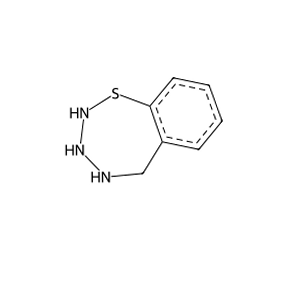 c1ccc2c(c1)CNNNS2